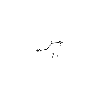 N.OCCS